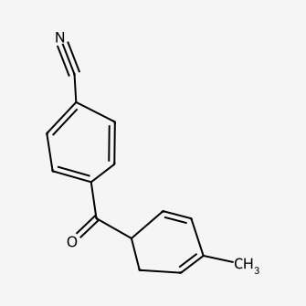 CC1=CCC(C(=O)c2ccc(C#N)cc2)C=C1